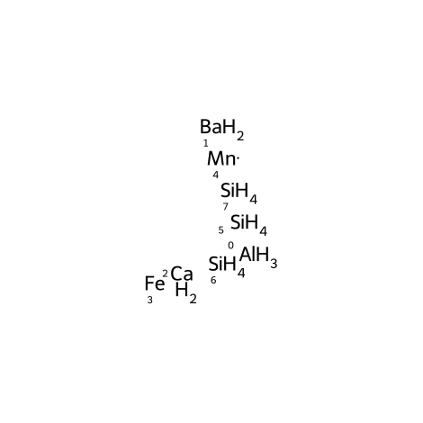 [AlH3].[BaH2].[CaH2].[Fe].[Mn].[SiH4].[SiH4].[SiH4]